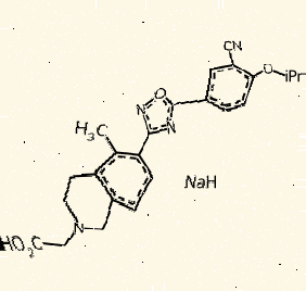 Cc1c(-c2noc(-c3ccc(OC(C)C)c(C#N)c3)n2)ccc2c1CCN(CC(=O)O)C2.[NaH]